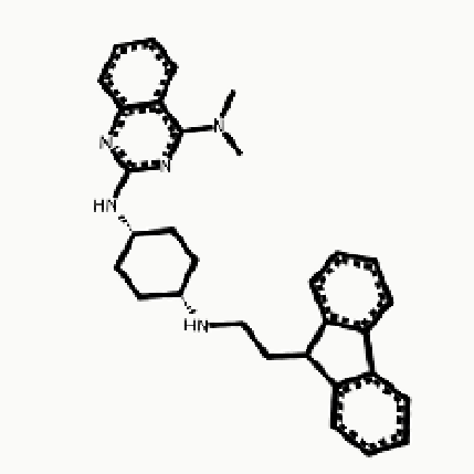 CN(C)c1nc(N[C@H]2CC[C@@H](NCCC3c4ccccc4-c4ccccc43)CC2)nc2ccccc12